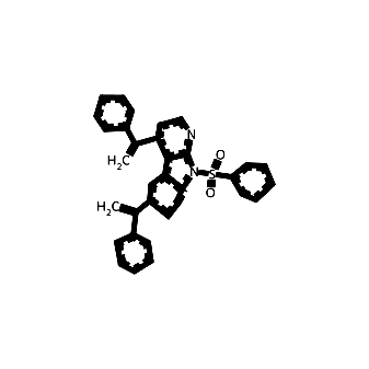 C=C(c1ccccc1)c1ccc2c(c1)c1c(C(=C)c3ccccc3)ccnc1n2S(=O)(=O)c1ccccc1